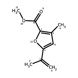 C=C(C)c1cc(C)c(C(=O)OC)o1